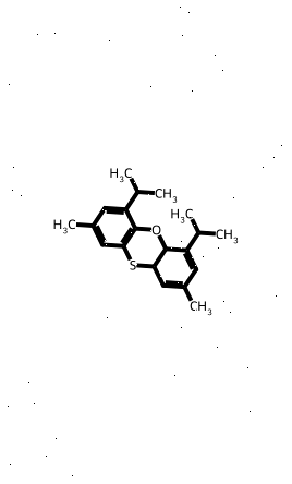 CC1=CC2Sc3cc(C)cc(C(C)C)c3OC2C(C(C)C)=C1